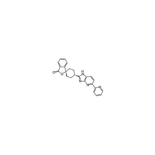 O=C1O[C@]2(CC[C@H](c3nc4nc(-c5ccccn5)ccc4[nH]3)CC2)c2ccccc21